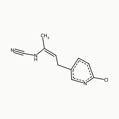 CC(=CCc1ccc(Cl)nc1)NC#N